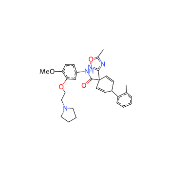 COc1ccc(NC(=O)C2(c3noc(C)n3)C=CC(c3ccccc3C)C=C2)cc1OCCN1CCCC1